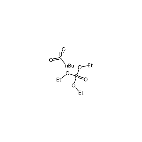 CCCC[SH](=O)=O.CCOP(=O)(OCC)OCC